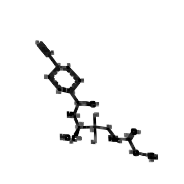 C#Cc1ccc(C(=O)N[C@H](C(=O)O)C(C)(C)CNC(=O)OC(C)(C)C)cc1